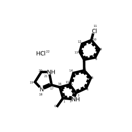 Cc1[nH]c2ccc(-c3ccc(Cl)cc3)cc2c1C1=NCCN1.Cl